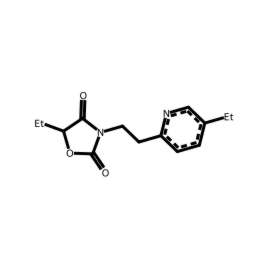 CCc1ccc(CCN2C(=O)OC(CC)C2=O)nc1